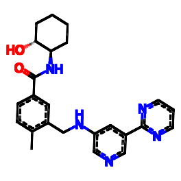 Cc1ccc(C(=O)N[C@@H]2CCCC[C@H]2O)cc1CNc1cncc(-c2ncccn2)c1